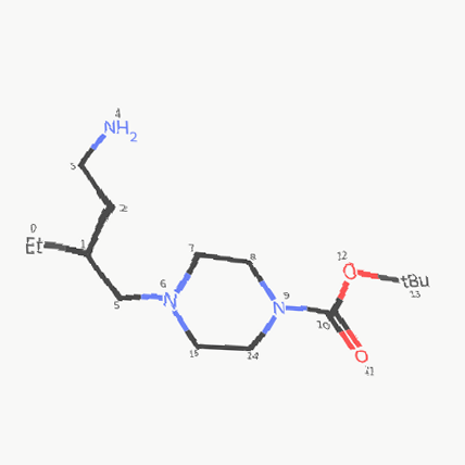 CCC(CCN)CN1CCN(C(=O)OC(C)(C)C)CC1